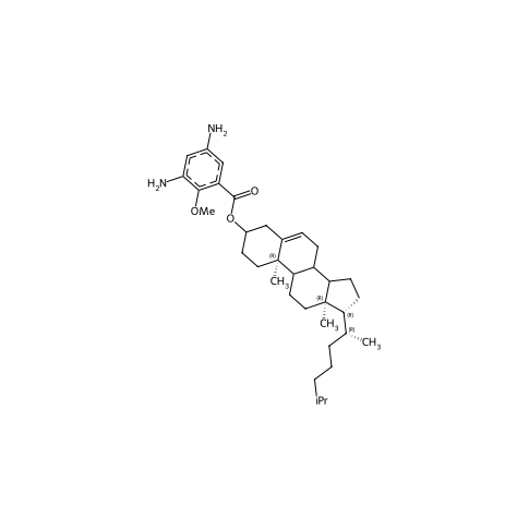 COc1c(N)cc(N)cc1C(=O)OC1CC[C@@]2(C)C(=CCC3C2CC[C@@]2(C)C3CC[C@@H]2[C@H](C)CCCC(C)C)C1